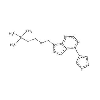 C[Si](C)(C)CCOCn1ccc2c(-c3ccsc3)ncnc21